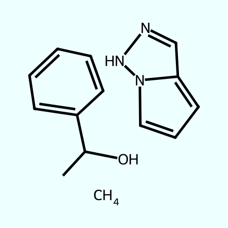 C.CC(O)c1ccccc1.c1cc2cn[nH]n2c1